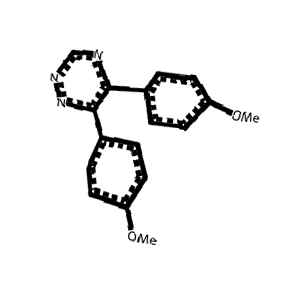 COc1ccc(-c2ncnnc2-c2ccc(OC)cc2)cc1